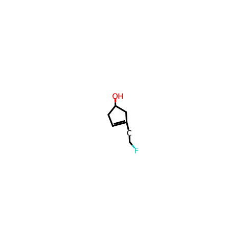 OC1CC=C(CCF)C1